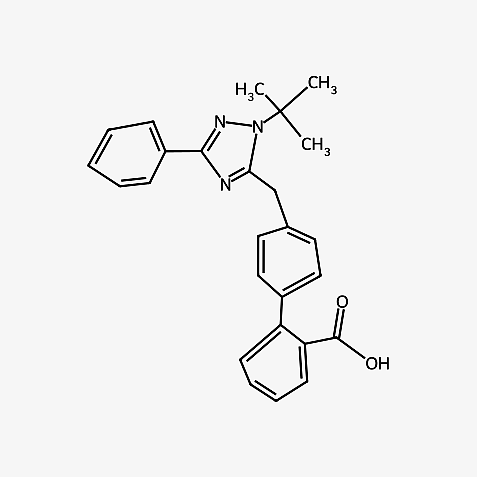 CC(C)(C)n1nc(-c2ccccc2)nc1Cc1ccc(-c2ccccc2C(=O)O)cc1